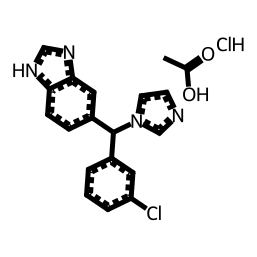 CC(=O)O.Cl.Clc1cccc(C(c2ccc3[nH]cnc3c2)n2ccnc2)c1